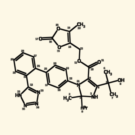 CCCC1(C)NC(C(C)(C)O)=C(C(=O)OCc2oc(=O)oc2C)N1c1ccc(-c2ccccc2-c2nnn[nH]2)cc1